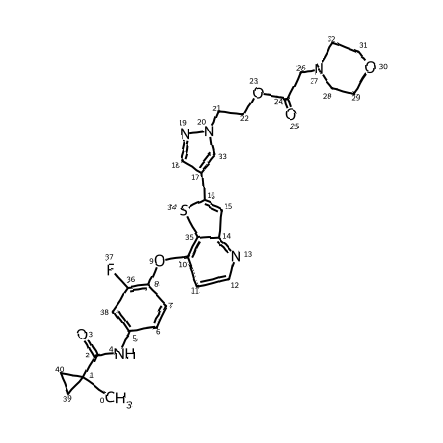 CC1(C(=O)Nc2ccc(Oc3ccnc4cc(-c5cnn(CCOC(=O)CN6CCOCC6)c5)sc34)c(F)c2)CC1